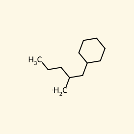 [CH2]C(CCC)CC1CCCCC1